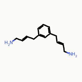 NCC=CCc1cccc(CC=CCN)c1